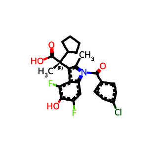 Cc1c([C@](C)(C(=O)O)C2CCCC2)c2c(F)c(O)c(F)cc2n1C(=O)c1ccc(Cl)cc1